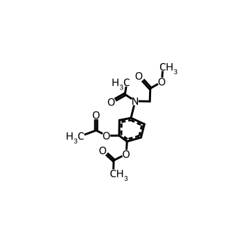 COC(=O)CN(C(C)=O)c1ccc(OC(C)=O)c(OC(C)=O)c1